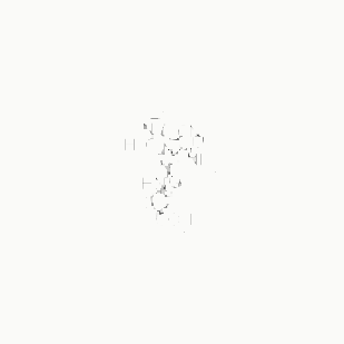 Cc1ncccc1-c1c(C#N)c(C(N)=O)c2n1CCN(C(=O)Nc1ccc(C(=O)O)cc1)C2